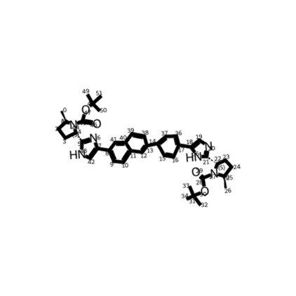 C[C@@H]1CC[C@@H](c2nc(-c3ccc4cc(-c5ccc(-c6cnc([C@@H]7CC[C@@H](C)N7C(=O)OC(C)(C)C)[nH]6)cc5)ccc4c3)c[nH]2)N1C(=O)OC(C)(C)C